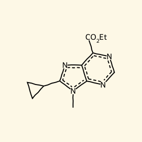 CCOC(=O)c1ncnc2c1nc(C1CC1)n2C